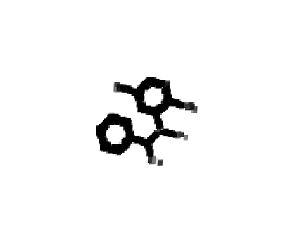 CC(c1ccccc1)N(C)c1cc(Br)cnc1[N+](=O)[O-]